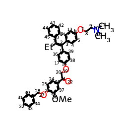 CCC(=C(c1ccc(OCCN(C)C)cc1)c1ccc(OCC(=O)c2ccc(OCc3ccccc3)c(OC)c2)cc1)c1ccccc1